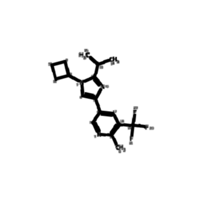 Cc1ncc(-c2cn(C3CCC3)c(C(C)C)n2)cc1C(F)(F)F